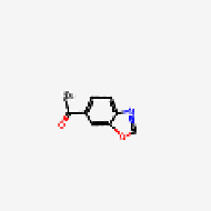 CC(C)(C)C(=O)c1ccc2ncoc2c1